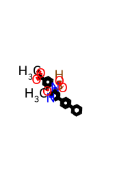 COC(=O)c1ccc(N(c2cncc(-c3ccc(C4CCCCC4)cc3)c2)[SH](=O)=O)c(OC)c1